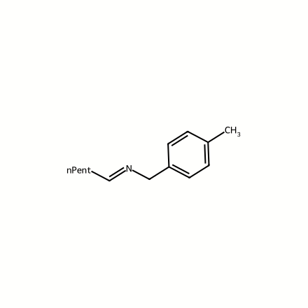 CCCCC/C=N/Cc1ccc(C)cc1